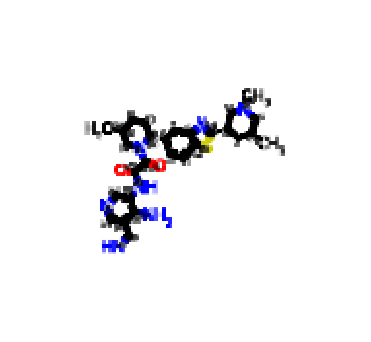 C[C@H]1C[C@H](c2nc3cc([C@H]4CC[C@H](C)CN4C(=O)C(=O)Nc4cncc(C=N)c4N)ccc3s2)CN(C)C1